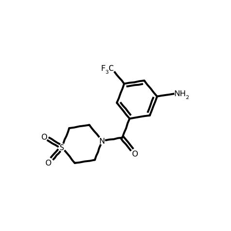 Nc1cc(C(=O)N2CCS(=O)(=O)CC2)cc(C(F)(F)F)c1